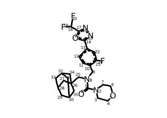 O=C(N1CCOCC1)N(Cc1ccc(-c2nnc(C(F)F)o2)cc1F)CC12CC3CC(CC(C3)C1)C2